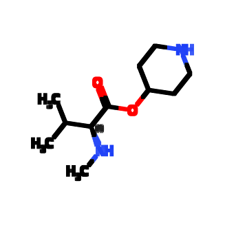 CN[C@H](C(=O)OC1CCNCC1)C(C)C